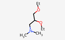 CCOCC(CN(C)C)OCC